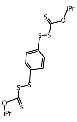 CC(C)OC(=S)SSc1ccc(SSC(=S)OC(C)C)cc1